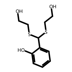 OCCSC(SCCO)c1ccccc1O